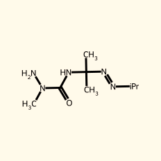 CC(C)N=NC(C)(C)NC(=O)N(C)N